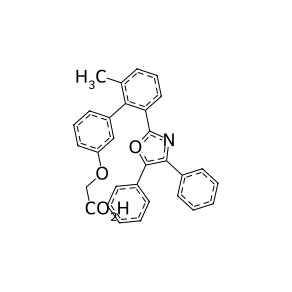 Cc1cccc(-c2nc(-c3ccccc3)c(-c3ccccc3)o2)c1-c1cccc(OCC(=O)O)c1